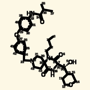 CCCCN1C(=O)[C@@H]([C@H](O)C2CCOCC2)NC(=O)C12CCN(Cc1ccc(Oc3ccc(NC(=O)C(C)C)cc3)cc1)CC2